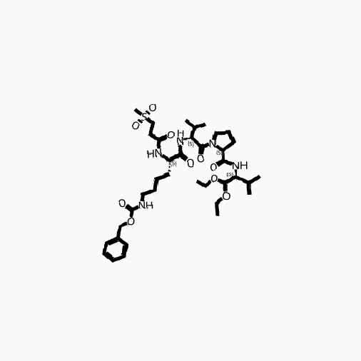 CCOC(OCC)[C@@H](NC(=O)[C@@H]1CCCN1C(=O)[C@@H](NC(=O)[C@H](CCCCNC(=O)OCc1ccccc1)NC(=O)CCS(C)(=O)=O)C(C)C)C(C)C